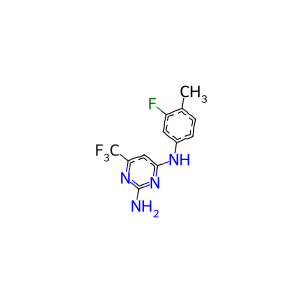 Cc1ccc(Nc2cc(C(F)(F)F)nc(N)n2)cc1F